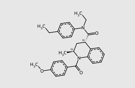 CCc1ccc(N(CC)C(=O)[C@H]2C[C@H](C)N(C(=O)c3ccc(OC)cc3)c3ccccc32)cc1